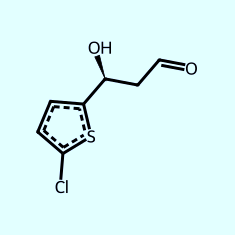 O=CC[C@H](O)c1ccc(Cl)s1